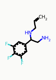 C=CCNC(CN)c1cc(F)c(F)c(F)c1